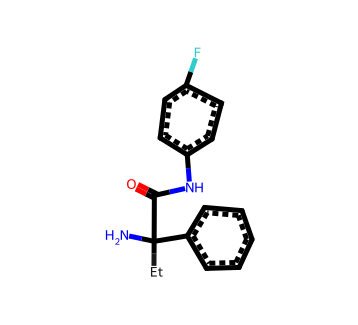 CCC(N)(C(=O)Nc1ccc(F)cc1)c1ccccc1